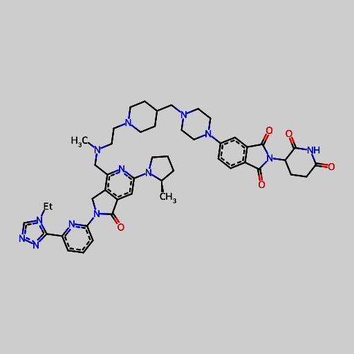 CCn1cnnc1-c1cccc(N2Cc3c(cc(N4CCC[C@H]4C)nc3CN(C)CCN3CCC(CN4CCN(c5ccc6c(c5)C(=O)N(C5CCC(=O)NC5=O)C6=O)CC4)CC3)C2=O)n1